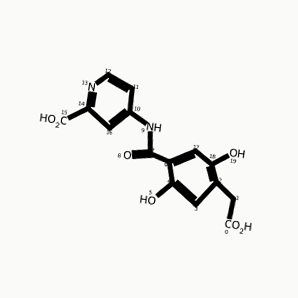 O=C(O)Cc1cc(O)c(C(=O)Nc2ccnc(C(=O)O)c2)cc1O